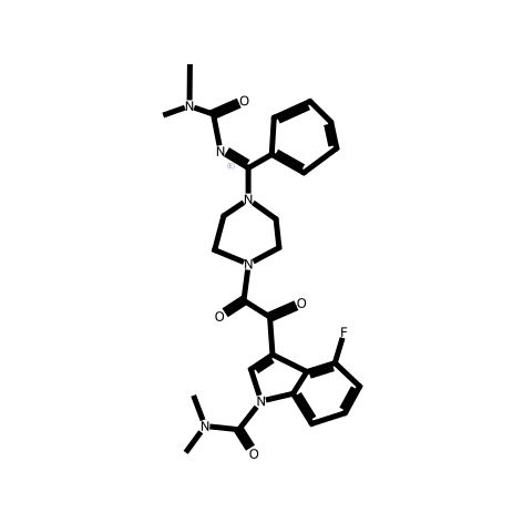 CN(C)C(=O)/N=C(\c1ccccc1)N1CCN(C(=O)C(=O)c2cn(C(=O)N(C)C)c3cccc(F)c23)CC1